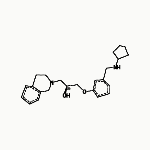 O[C@H](COc1cccc(CNC2CCCC2)c1)CN1CCc2ccccc2C1